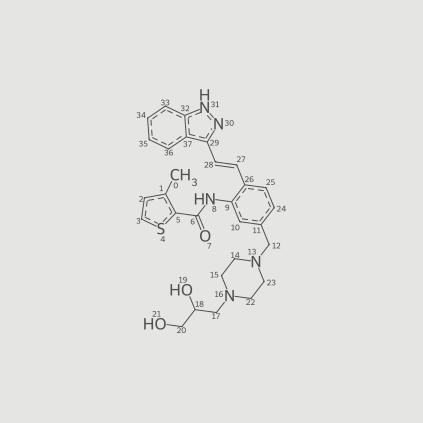 Cc1ccsc1C(=O)Nc1cc(CN2CCN(CC(O)CO)CC2)ccc1/C=C/c1n[nH]c2ccccc12